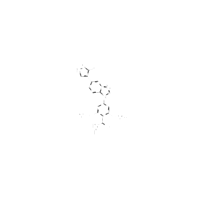 CCNC(=O)c1c(OC)cc(-n2cnc3cc(-c4c[nH]nc4C)ccc32)cc1OC